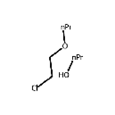 CCCO.CCCOCCCl